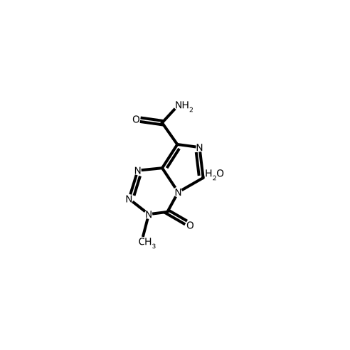 Cn1nnc2c(C(N)=O)ncn2c1=O.O